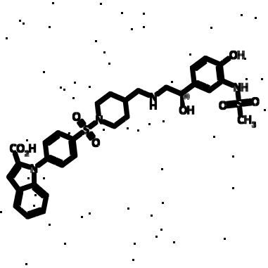 CS(=O)(=O)Nc1cc([C@@H](O)CNCC2CCN(S(=O)(=O)c3ccc(-n4c(C(=O)O)cc5ccccc54)cc3)CC2)ccc1O